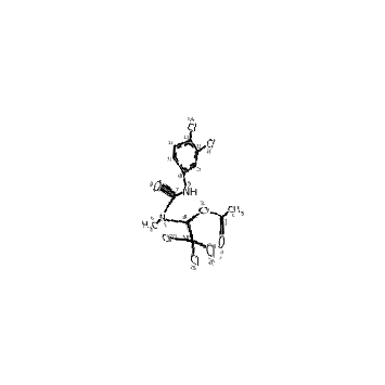 CC(=O)OC(N(C)C(=O)Nc1ccc(Cl)c(Cl)c1)C(Cl)(Cl)Cl